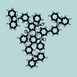 O=P1(c2ccccc2)c2cc(-c3cccc(-n4c5ccccc5c5ccccc54)c3)cc3c2N2c4c1cc(-c1cccc(-n5c6ccccc6c6ccccc65)c1)cc4P(=O)(c1ccccc1)c1cc(-c4cccc(-n5c6ccccc6c6ccccc65)c4)cc(c12)P3(=O)c1ccccc1